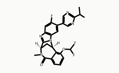 C[C](C)c1ncc(-c2cc3c(cc2F)nc2n3[C@@H]3C[C@H]2N(C)C(=O)c2cccc(OC(F)F)c23)cn1